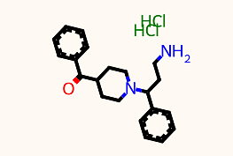 Cl.Cl.NCCC(c1ccccc1)N1CCC(C(=O)c2ccccc2)CC1